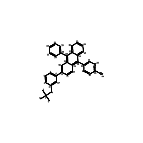 CC(C)(C)Cc1cccc(-c2ccc3c(-c4ccc(Br)nc4)c4ccccc4c(-c4ccccc4)c3c2)c1